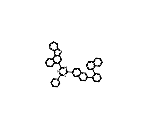 c1ccc(-c2nc(-c3ccc4cc(-c5ccccc5-c5cccc6ccccc56)ccc4c3)nc(-c3cc4sc5ccccc5c4c4ccccc34)n2)cc1